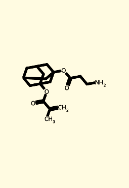 C=C(C)C(=O)OC12CC3CC(CC(OC(=O)CCN)(C3)C1)C2